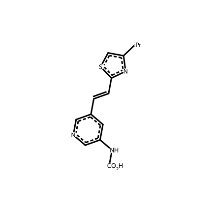 CC(C)c1csc(C=Cc2cncc(NC(=O)O)c2)n1